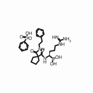 N=C(N)NCCC[C@H](NC(=O)C1(C(=O)NCCc2ccccc2)CCCC1)B(O)O.O=S(=O)(O)c1ccccc1